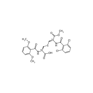 COC(=O)[C@H](CSC[C@H](NC(=O)c1c(OC)cccc1OC)C(=O)O)NC(=O)c1c(Cl)cccc1Cl